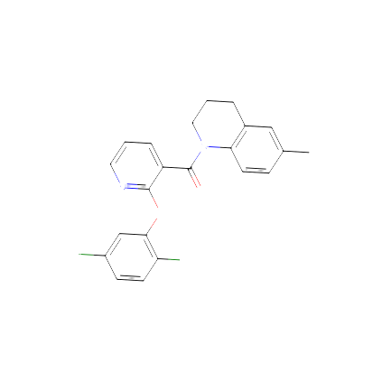 Cc1ccc2c(c1)CCCN2C(=O)c1cccnc1Oc1cc(Cl)ccc1Cl